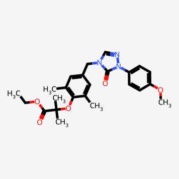 CCOC(=O)C(C)(C)Oc1c(C)cc(Cn2cnn(-c3ccc(OC)cc3)c2=O)cc1C